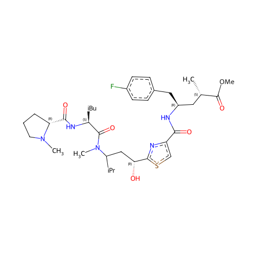 CCC(C)[C@H](NC(=O)[C@H]1CCCN1C)C(=O)N(C)C(C[C@@H](O)c1nc(C(=O)N[C@@H](Cc2ccc(F)cc2)C[C@H](C)C(=O)OC)cs1)C(C)C